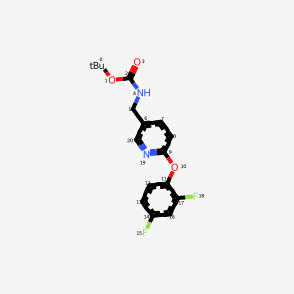 CC(C)(C)OC(=O)NCc1ccc(Oc2ccc(F)cc2F)nc1